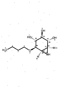 CCCCO[C@H]1[C@H](O)[C@@H](O)[C@H](O)[C@H]2N[C@H]21